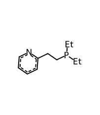 CCP(CC)CCc1ccccn1